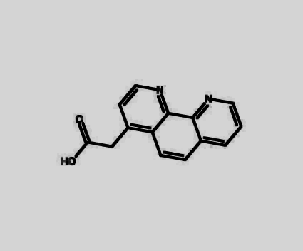 O=C(O)Cc1ccnc2c1ccc1cccnc12